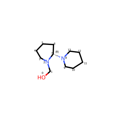 OCN1CCCC[C@@H]1N1CCCCC1